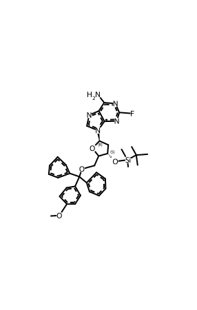 COc1ccc(C(OC[C]2O[C@@H](n3cnc4c(N)nc(F)nc43)C[C@@H]2O[Si](C)(C)C(C)(C)C)(c2ccccc2)c2ccccc2)cc1